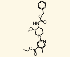 CCOC(=O)c1cc(N2CCC(NC(=O)OCc3ccccc3)C(OC)C2)ncc1C